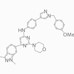 COc1ccc(Cn2cc(-c3ccc(Nc4cc(-c5ccc6c(C)nn(C)c6c5)nc(N5CCOCC5)n4)cc3)cn2)cc1